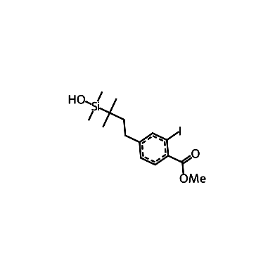 COC(=O)c1ccc(CCC(C)(C)[Si](C)(C)O)cc1I